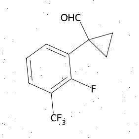 O=CC1(c2cccc(C(F)(F)F)c2F)CC1